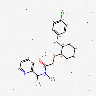 CC(c1ccccn1)N(C)C(=O)CSC1CCCCC1Sc1ccc(Cl)cc1